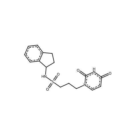 O=c1ccn(CCCS(=O)(=O)NC2CCc3ccccc32)c(=O)[nH]1